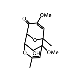 COC1=CC2(C)OC(C1=O)C1OC(C)=CC2(OC)C1O